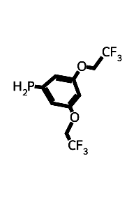 FC(F)(F)COc1cc(P)cc(OCC(F)(F)F)c1